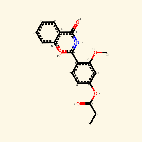 CCC(=O)Oc1ccc(-c2nc(=O)c3ccccc3o2)c(OC)c1